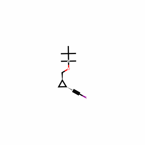 CC(C)(C)[Si](C)(C)OC[C@@H]1C[C@H]1C#CI